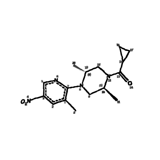 Cc1cc([N+](=O)[O-])cnc1N1C[C@H](C)N(C(=O)C2CC2)C[C@H]1C